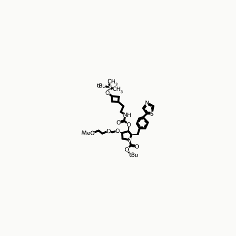 COCCOCO[C@H]1CN(C(=O)OC(C)(C)C)[C@H](Cc2ccc(-c3cncs3)cc2)[C@@H]1OC(=O)NCCC1CC(O[Si](C)(C)C(C)(C)C)C1